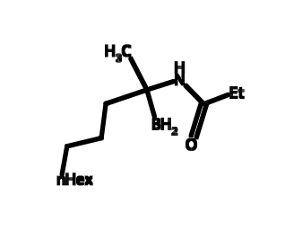 BC(C)(CCCCCCCCC)NC(=O)CC